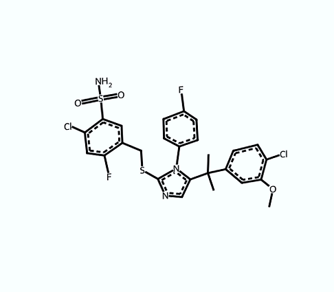 COc1cc(C(C)(C)c2cnc(SCc3cc(S(N)(=O)=O)c(Cl)cc3F)n2-c2ccc(F)cc2)ccc1Cl